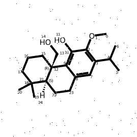 COc1c(C(C)C)cc2c(c1O)[C@@]1(CO)CCCC(C)(C)[C@@H]1CC2